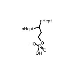 CCCCCCCC(CCCCCCC)CCOP(=O)(O)O